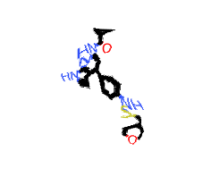 O=C(Nc1cc(-c2ccc(NSCC3CCOCC3)cc2)c2cc[nH]c2n1)C1CC1